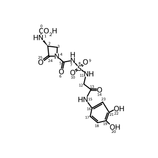 O=C(O)N[C@H]1CN(C(=O)NS(=O)(=O)NCC(=O)Nc2ccc(O)c(O)c2)C1=O